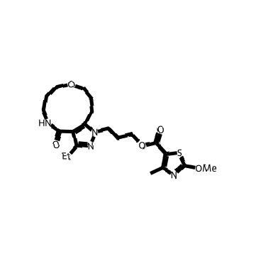 CCc1nn(CCCOC(=O)c2sc(OC)nc2C)c2c1C(=O)NCCCOCCC2